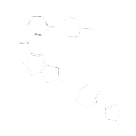 CN1CCN(c2cccc(C(=O)c3ncc4c(n3)CN(S(=O)(=O)c3ccc(-c5ncco5)c(F)c3)C4)c2)CC1